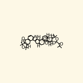 CC1(C)OC1[C@H]1O[C@H]2[C@H]3O[C@@]34[C@H](CC[C@@]3(C)[C@@]4(O)CC[C@H]4Cc5c([nH]c6ccc7c(c56)C[C@@H]5[C@@H](C7=O)C(C)(C)OC5(C)C)[C@@]43C)O[C@@H]2C(C)(C)O1